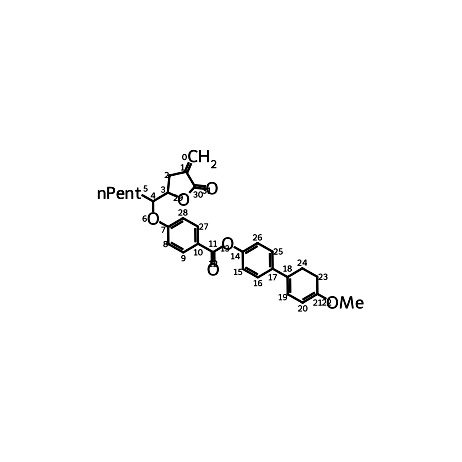 C=C1CC(C(CCCCC)Oc2ccc(C(=O)Oc3ccc(C4=CC=C(OC)CC4)cc3)cc2)OC1=O